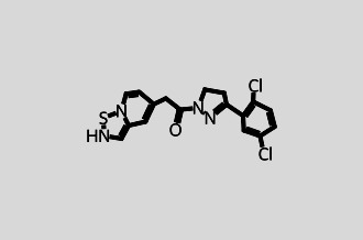 O=C(CC1=CC2=CNSN2C=C1)N1CCC(c2cc(Cl)ccc2Cl)=N1